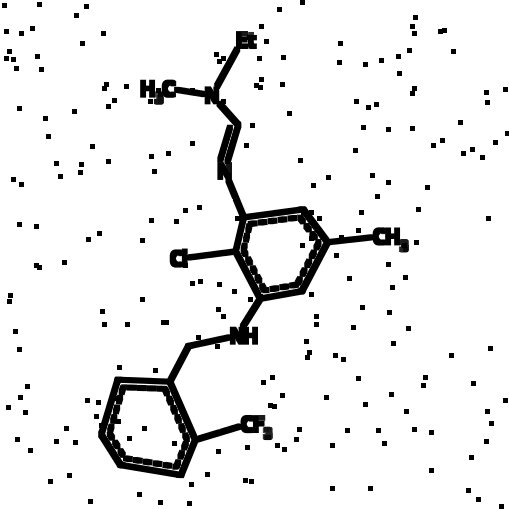 CCN(C)C=Nc1cc(C)cc(NCc2ccccc2C(F)(F)F)c1Cl